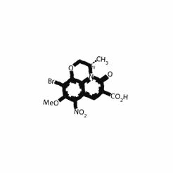 COc1c(Br)c2c3c(cc(C(=O)O)c(=O)n3[C@@H](C)CO2)c1[N+](=O)[O-]